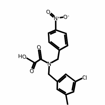 O=C(O)C(=O)N(Cc1ccc([N+](=O)[O-])cc1)Cc1cc(Cl)cc(Cl)c1